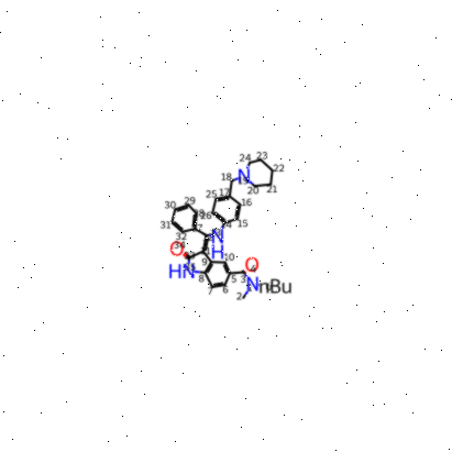 CCCCN(C)C(=O)c1ccc2c(c1)C(=C(Nc1ccc(CN3CCCCC3)cc1)c1ccccc1)C(=O)N2